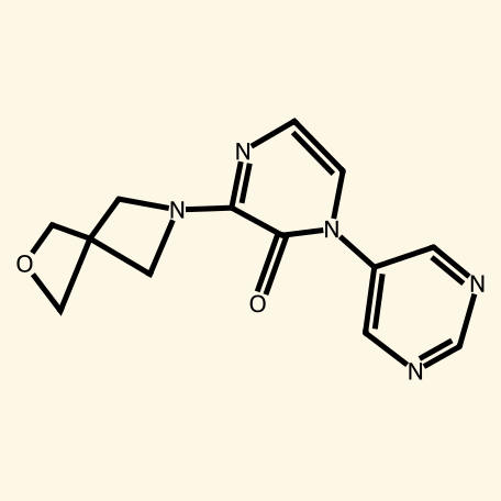 O=c1c(N2CC3(COC3)C2)nccn1-c1cncnc1